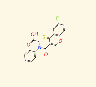 O=C(O)CN(C(=O)c1coc2ccc(F)cc2c1=S)c1ccccc1